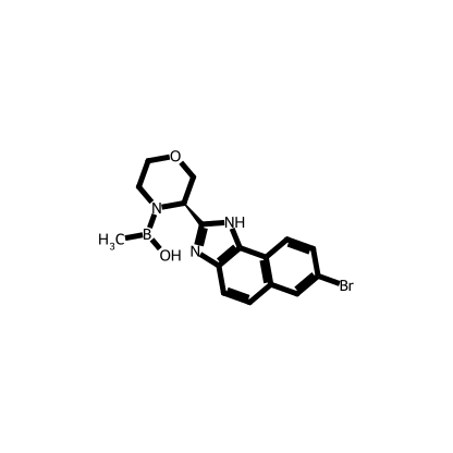 CB(O)N1CCOC[C@H]1c1nc2ccc3cc(Br)ccc3c2[nH]1